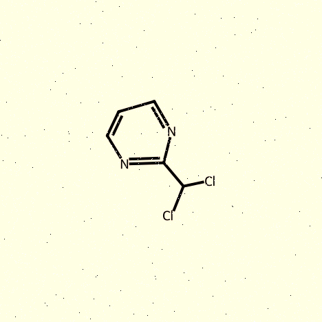 ClC(Cl)c1ncccn1